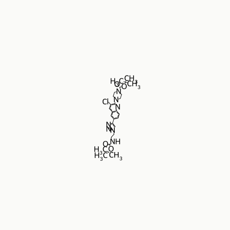 CC(C)(C)OC(=O)NCCn1cc(-c2ccc3nc(N4CCN(C(=O)OC(C)(C)C)CC4)c(Cl)cc3c2)nn1